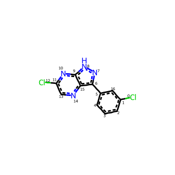 Clc1cccc(-c2n[nH]c3nc(Cl)cnc23)c1